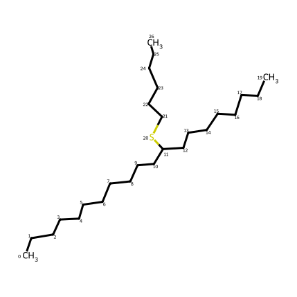 CCCCCCCCCCCC(CCCCCCCC)SCCCCCC